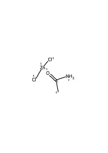 CC(N)=O.[Cl][Zn][Cl]